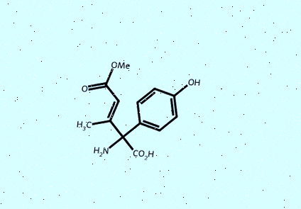 COC(=O)C=C(C)C(N)(C(=O)O)c1ccc(O)cc1